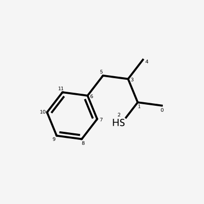 CC(S)C(C)Cc1ccccc1